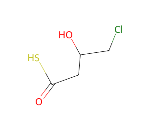 O=C(S)CC(O)CCl